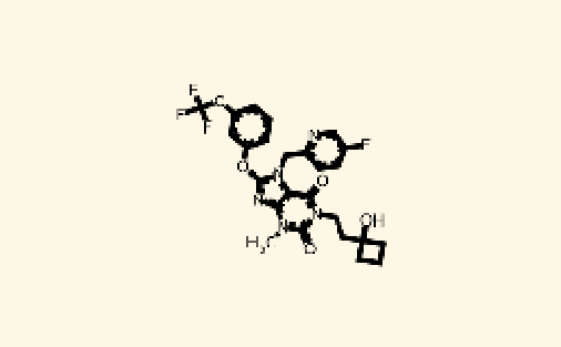 Cn1c(=O)n(CCC2(O)CCC2)c(=O)c2c1nc(Oc1cccc(OC(F)(F)F)c1)n2Cc1ccc(F)cn1